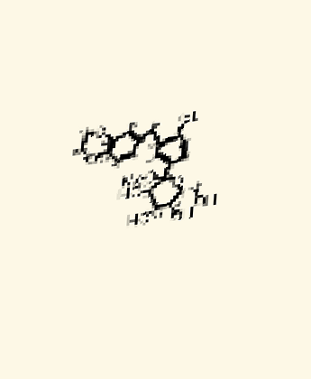 CCc1ccc([C@]2(OC)O[C@H](CO)[C@@H](O)[C@H](O)[C@H]2O)cc1Cc1ccc2c(c1)OCCO2